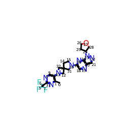 Cc1nc(C(F)(F)F)ncc1N1CC2(CCN(c3cnc4cnn([C@H]5CCOC5)c4n3)C2)C1